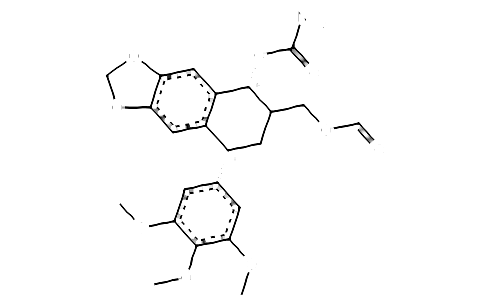 COc1cc([C@H]2CC(COC=O)[C@@H](OC(N)=O)c3cc4c(cc32)OCO4)cc(OC)c1OC